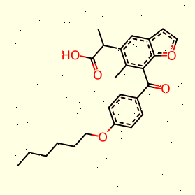 CCCCCCOc1ccc(C(=O)c2c(C)c(C(C)C(=O)O)cc3ccoc23)cc1